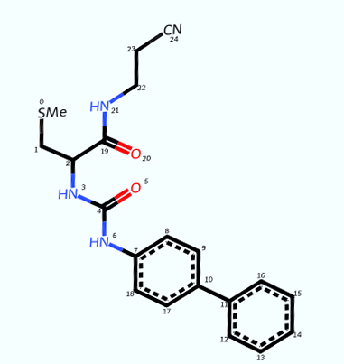 CSCC(NC(=O)Nc1ccc(-c2ccccc2)cc1)C(=O)NCCC#N